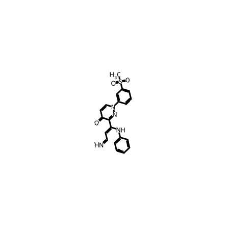 CS(=O)(=O)c1cccc(-n2ccc(=O)c(/C(=C/C=N)Nc3ccccc3)n2)c1